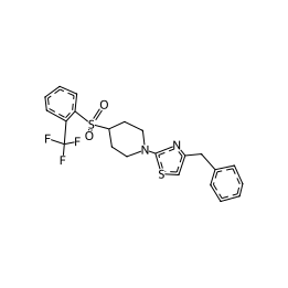 O=S(=O)(c1ccccc1C(F)(F)F)C1CCN(c2nc(Cc3ccccc3)cs2)CC1